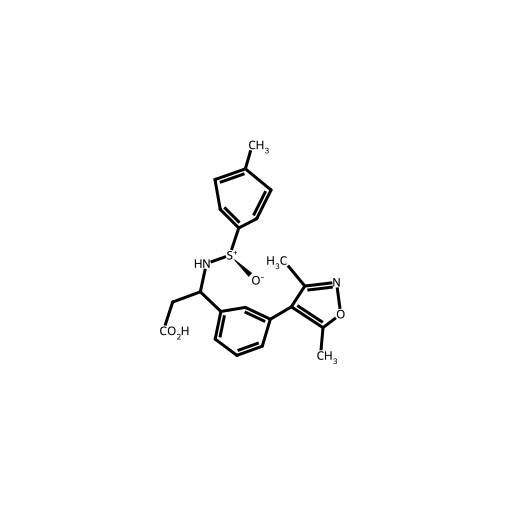 Cc1ccc([S@@+]([O-])NC(CC(=O)O)c2cccc(-c3c(C)noc3C)c2)cc1